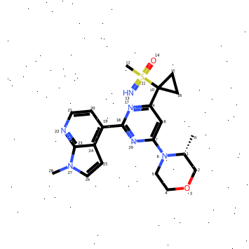 C[C@@H]1COCCN1c1cc(C2(S(C)(=N)=O)CC2)nc(-c2ccnc3c2ccn3C)n1